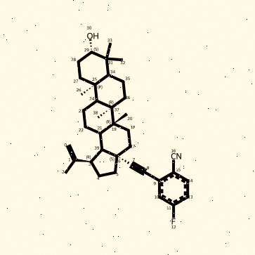 C=C(C)[C@@H]1CC[C@]2(C#Cc3cc(F)ccc3C#N)CC[C@]3(C)C(CCC4[C@@]5(C)CC[C@H](O)C(C)(C)C5CC[C@]43C)C12